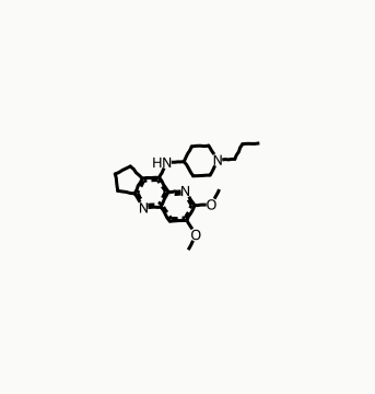 CCCN1CCC(Nc2c3c(nc4cc(OC)c(OC)nc24)CCC3)CC1